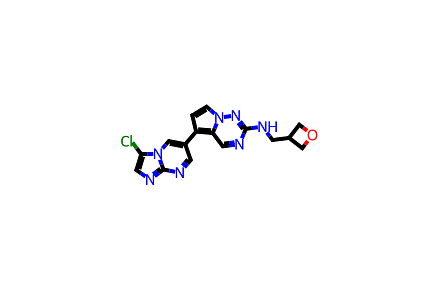 Clc1cnc2ncc(-c3ccn4nc(NCC5COC5)ncc34)cn12